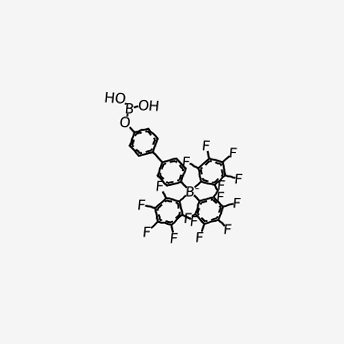 OB(O)Oc1ccc(-c2ccc([B-](c3c(F)c(F)c(F)c(F)c3F)(c3c(F)c(F)c(F)c(F)c3F)c3c(F)c(F)c(F)c(F)c3F)cc2)cc1